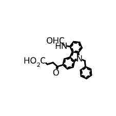 O=CNc1cccc2c1c1cc(C(=O)CCC(=O)O)ccc1n2Cc1ccccc1